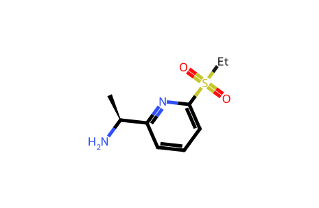 CCS(=O)(=O)c1cccc([C@H](C)N)n1